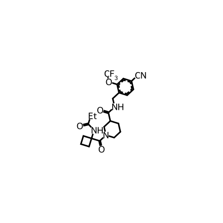 CCC(=O)NC1(C(=O)N2CCCC(C(=O)NCc3ccc(C#N)cc3OC(F)(F)F)C2)CCC1